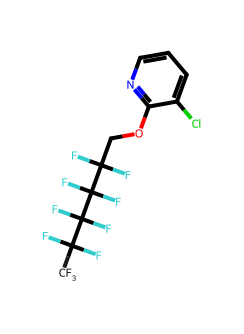 FC(F)(F)C(F)(F)C(F)(F)C(F)(F)C(F)(F)COc1ncccc1Cl